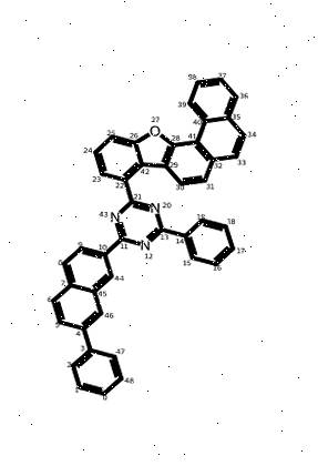 c1ccc(-c2ccc3ccc(-c4nc(-c5ccccc5)nc(-c5cccc6oc7c(ccc8ccc9ccccc9c87)c56)n4)cc3c2)cc1